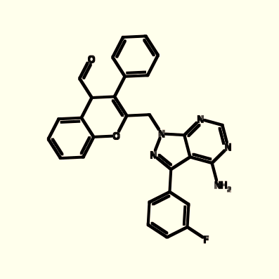 Nc1ncnc2c1c(-c1cccc(F)c1)nn2CC1=C(c2ccccc2)C(C=O)c2ccccc2O1